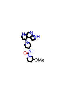 COC1CCCN(C(=O)NC2CCN(c3ccnc4cnc5[nH]ccc5c34)CC2)C1